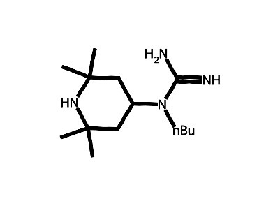 CCCCN(C(=N)N)C1CC(C)(C)NC(C)(C)C1